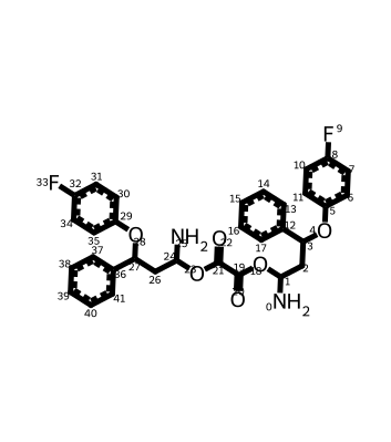 NC(CC(Oc1ccc(F)cc1)c1ccccc1)OC(=O)C(=O)OC(N)CC(Oc1ccc(F)cc1)c1ccccc1